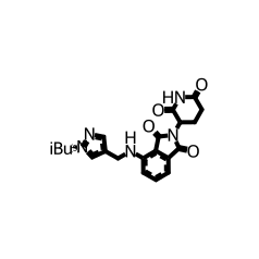 CC[C@H](C)n1cc(CNc2cccc3c2C(=O)N(C2CCC(=O)NC2=O)C3=O)cn1